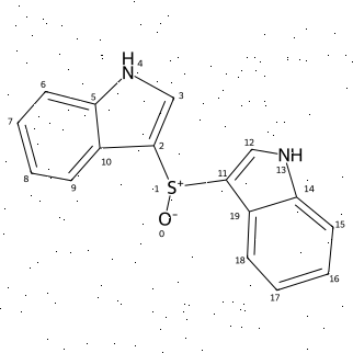 [O-][S+](c1c[nH]c2ccccc12)c1c[nH]c2ccccc12